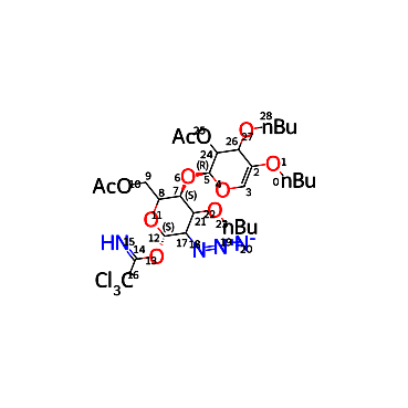 CCCCOC1=CO[C@@H](O[C@@H]2C(COC(C)=O)O[C@@H](OC(=N)C(Cl)(Cl)Cl)C(N=[N+]=[N-])C2OCCCC)C(OC(C)=O)C1OCCCC